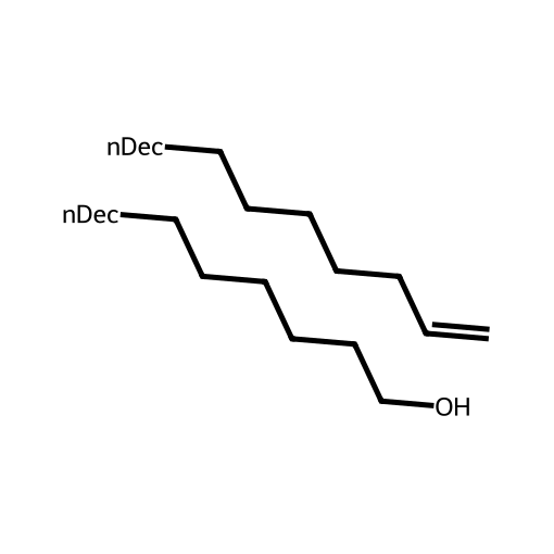 C=CCCCCCCCCCCCCCCC.CCCCCCCCCCCCCCCCO